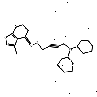 Cc1coc2c1/C(=N/OCC#CCN(C1CCCCC1)C1CCCCC1)CCC2